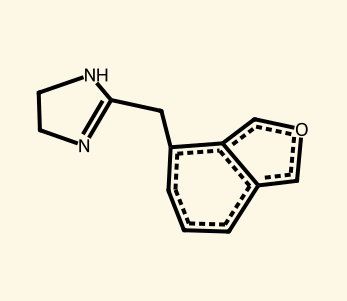 c1cc(CC2=NCCN2)c2cocc2c1